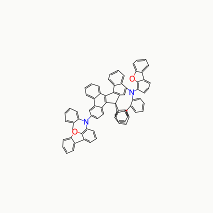 Cc1ccccc1N(c1ccc2c3c(c4ccccc4c2c1)-c1c2cc(c4ccccc14)N(c1cccc4c1oc1ccccc14)c1ccccc1-c1ccccc1C23c1ccccc1)c1cccc2c1oc1ccccc12